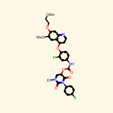 CCn1cc(OC(=O)Nc2ccc(Oc3ccnc4cc(OCCOC)c(OC)cc34)c(F)c2)c(=O)n(-c2ccc(F)cc2)c1=O